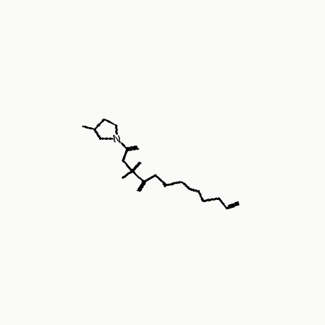 C=CCCCCCCCC(=C)C(C)(C)CC(=C)N1CCC(C)C1